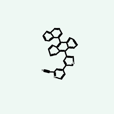 N#Cc1cc(-c2cncc(-c3c4ccccc4c(-c4cccc5ccccc45)c4ccccc34)c2)ccn1